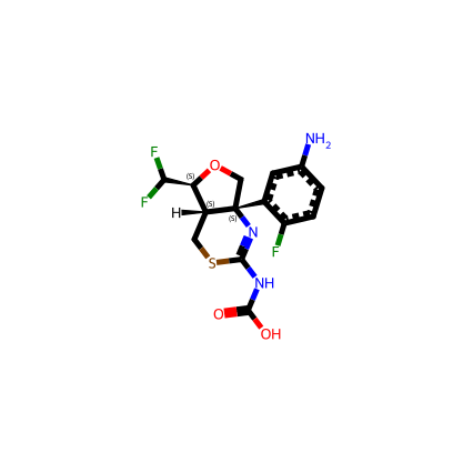 Nc1ccc(F)c([C@]23CO[C@H](C(F)F)[C@H]2CSC(NC(=O)O)=N3)c1